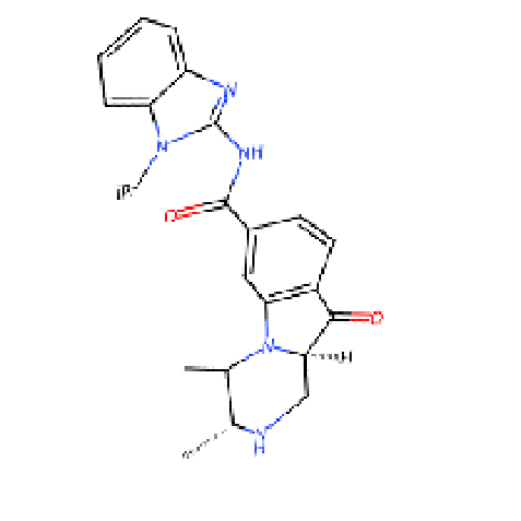 CC1[C@@H](C)NC[C@@H]2C(=O)c3ccc(C(=O)Nc4nc5ccccc5n4C(C)C)cc3N12